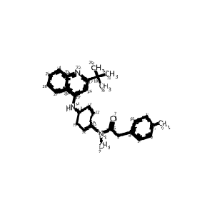 Cc1ccc(CC(=O)N(C)C2CCC(Nc3cc(C(C)(C)C)nc4ccccc34)CC2)cc1